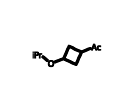 CC(=O)C1CC(OC(C)C)C1